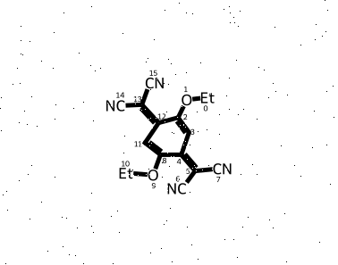 CCOc1cc(=C(C#N)C#N)c(OCC)cc1=C(C#N)C#N